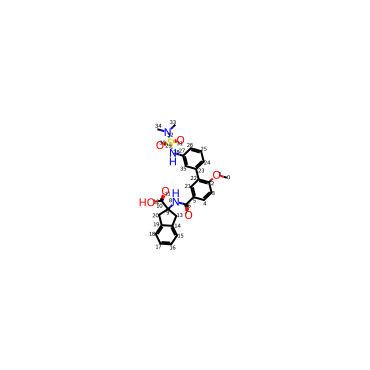 COc1ccc(C(=O)NC2(C(=O)O)Cc3ccccc3C2)cc1-c1cccc(NS(=O)(=O)N(C)C)c1